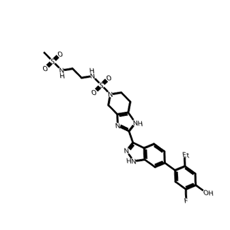 CCc1cc(O)c(F)cc1-c1ccc2c(-c3nc4c([nH]3)CCN(S(=O)(=O)NCCNS(C)(=O)=O)C4)n[nH]c2c1